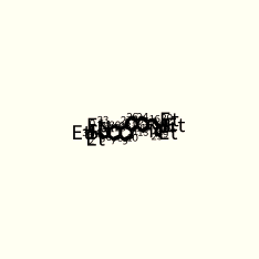 CC[Si](CC)(CC)c1cc2cc3ccc4c5cc6c(cc([Si](CC)(CC)CC)n6C)cc5ccc4c3cc2n1C